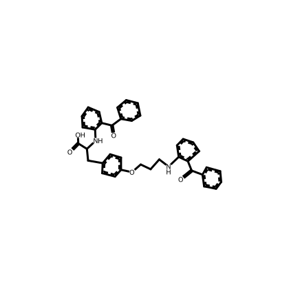 O=C(c1ccccc1)c1ccccc1NCCCOc1ccc(CC(Nc2ccccc2C(=O)c2ccccc2)C(=O)O)cc1